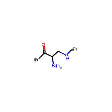 CC(C)NCC(N)C(=O)C(C)C